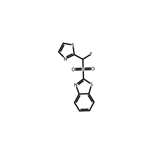 O=S(=O)(c1nc2ccccc2s1)C(F)c1nccs1